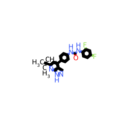 CC(C)(C)c1cc(-c2ccc(NC(=O)Nc3ccc(F)cc3F)cc2)c2cn[nH]c2n1